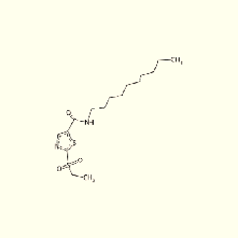 CCCCCCCCCCNC(=O)c1cnc(S(=O)(=O)CC)s1